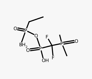 BP(=O)(CC)OP(=O)(O)C(F)(F)P(C)(C)=O